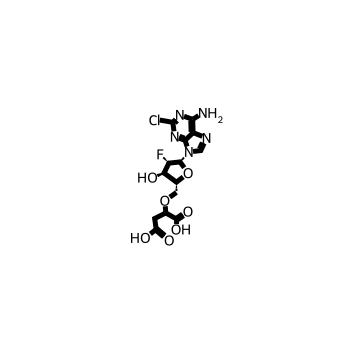 Nc1nc(Cl)nc2c1ncn2[C@@H]1O[C@H](COC(CC(=O)O)C(=O)O)[C@@H](O)[C@@H]1F